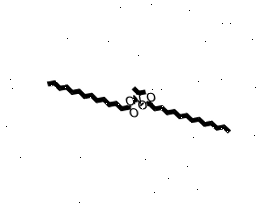 CCCCCCCCCCCCCC(=O)ON(OC(=O)CCCCCCCCCCCCC)C(C)C